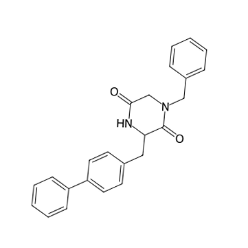 O=C1CN(Cc2ccccc2)C(=O)C(Cc2ccc(-c3ccccc3)cc2)N1